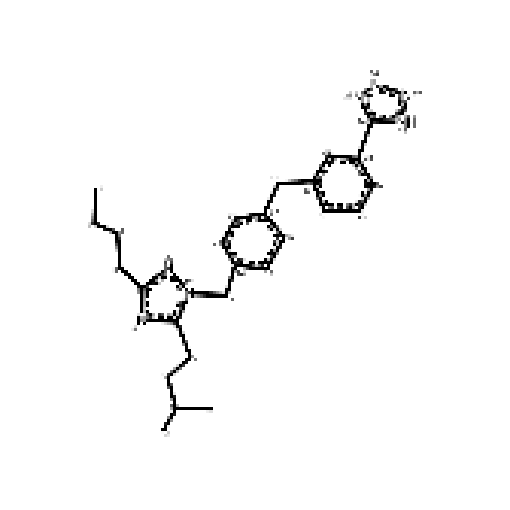 CCCCc1nc(CCC(C)C)n(Cc2ccc(Cc3cccc(-c4nnn[nH]4)c3)cc2)n1